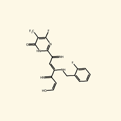 N=C(/C=C\O)/C(=C/C(=N)c1nc(F)c(C(F)(F)F)c(=O)[nH]1)NCc1ccccc1F